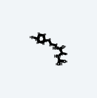 CC(NC(=O)O)C(=O)NCCCc1ccc(F)cc1